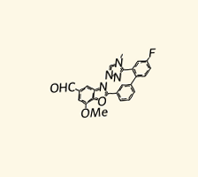 COc1cc(C=O)cc2nc(-c3cccc(-c4ccc(F)cc4-c4nncn4C)c3)oc12